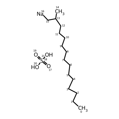 CCCCCCCCCCCCCC(C)[CH2][Na].O=S(=O)(O)O